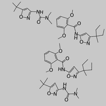 CCC(C)(CC)c1cc(NC(=O)c2c(OC)cccc2OC)on1.CCC(C)(CC)c1cc(NC(=O)c2c(OC)cccc2OC)on1.CN(C)C(=O)Nc1cc(C(C)(C)C)on1.CN(C)C(=O)Nc1cc(C(C)(C)C)on1